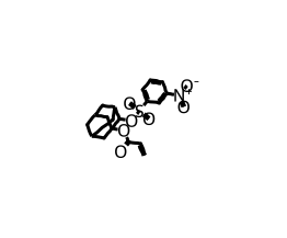 C=CC(=O)OC12CC3CC(CC(C3)C1OS(=O)(=O)c1cccc([N+](=O)[O-])c1)C2